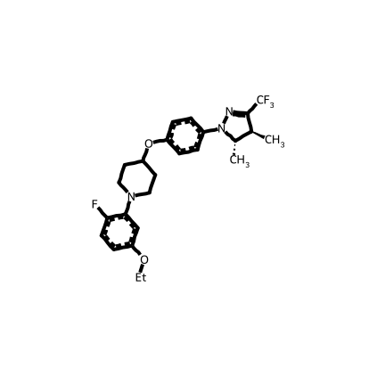 CCOc1ccc(F)c(N2CCC(Oc3ccc(N4N=C(C(F)(F)F)[C@@H](C)[C@@H]4C)cc3)CC2)c1